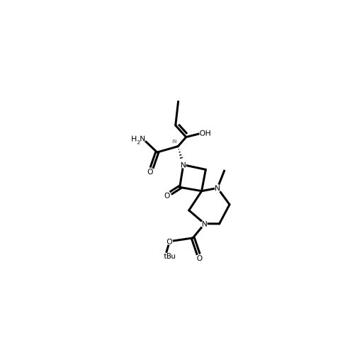 CC=C(O)[C@@H](C(N)=O)N1CC2(CN(C(=O)OC(C)(C)C)CCN2C)C1=O